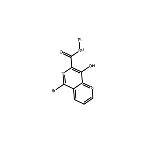 CCNC(=O)c1nc(Br)c2cccnc2c1O